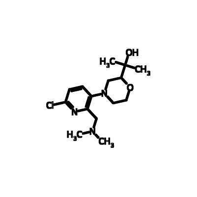 CN(C)Cc1nc(Cl)ccc1N1CCOC(C(C)(C)O)C1